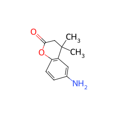 CC1(C)CC(=O)Oc2ccc(N)cc21